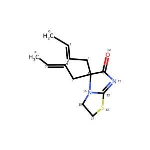 CC=CCC1(CC=CC)C(=O)N=C2SCCN21